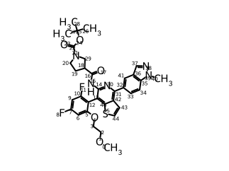 COCCOc1cc(F)cc(F)c1-c1c(NC(=O)C2CCN(C(=O)OC(C)(C)C)C2)nc(-c2ccc3c(cnn3C)c2)c2ccsc12